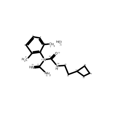 Cc1cccc(C)c1N(C(=N)N)C(=O)NCCC1CCC1.Cl